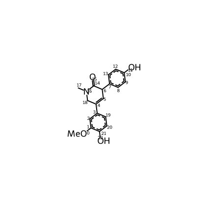 COc1cc(C2=CC(c3ccc(O)cc3)C(=O)N(C)C2)ccc1O